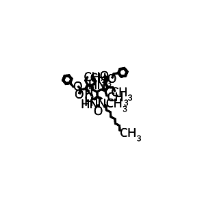 CCCCCCCCC(C)n1cc(C(c2[nH]c(C(=O)OCc3ccccc3)c(CC)c2CC)c2[nH]c(C(=O)OCc3ccccc3)c(CC)c2CC)c(=O)[nH]c1=O